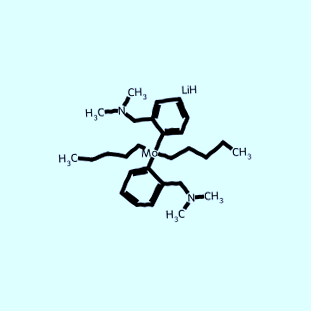 CCCC[CH2][Mo]([CH2]CCCC)([c]1ccccc1CN(C)C)[c]1ccccc1CN(C)C.[LiH]